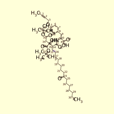 CC#CCOc1ccc(C[C@H](NC(=O)[C@@H](/C=C/CCCCCCC(=O)CCCCCCC)[C@@](O)(CC(=O)OC(C)(C)C)C(=O)OC(C)(C)C)C(=O)O)cc1